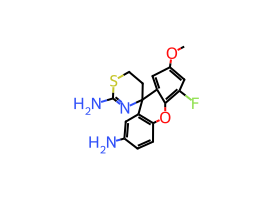 COc1cc(F)c2c(c1)C1(CCSC(N)=N1)c1cc(N)ccc1O2